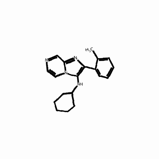 Cc1ccccc1-c1nc2cnccn2c1NC1CCCCC1